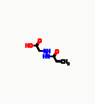 C=CC(=O)NNCC(=O)O